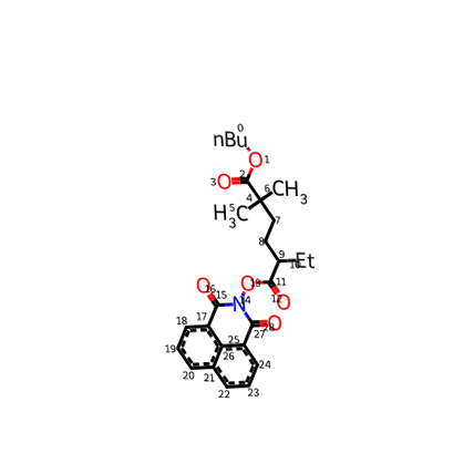 CCCCOC(=O)C(C)(C)CCC(CC)C(=O)ON1C(=O)c2cccc3cccc(c23)C1=O